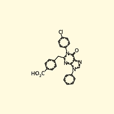 O=C(O)c1ccc(Cc2nc3c(ncn3-c3ccccc3)c(=O)n2-c2ccc(Cl)cc2)cc1